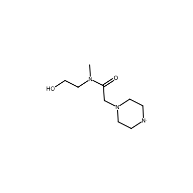 CN(CCO)C(=O)CN1CC[N]CC1